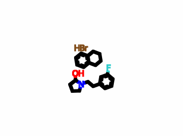 Br.OC1CCCN1CCc1cccc(F)c1.c1ccc2c(c1)CCCC2